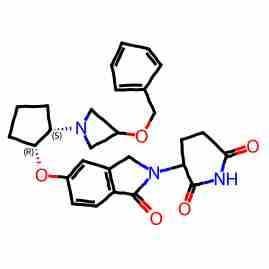 O=C1CCC(N2Cc3cc(O[C@@H]4CCC[C@@H]4N4CC(OCc5ccccc5)C4)ccc3C2=O)C(=O)N1